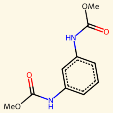 COC(=O)Nc1cccc(NC(=O)OC)c1